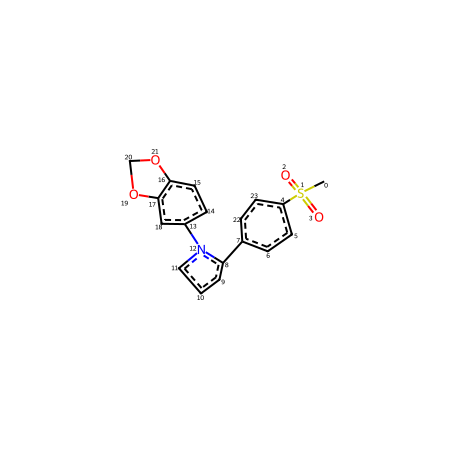 CS(=O)(=O)c1ccc(-c2cccn2-c2ccc3c(c2)OCO3)cc1